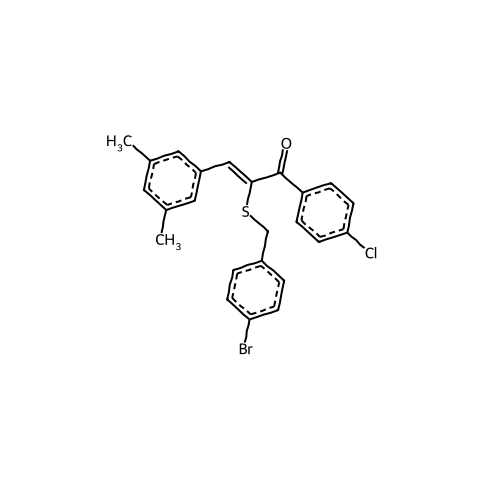 Cc1cc(C)cc(C=C(SCc2ccc(Br)cc2)C(=O)c2ccc(Cl)cc2)c1